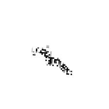 CCN1CCN(c2ccc3cc(-c4cn5cc(C)cc(F)c5n4)c(=O)oc3n2)CC1